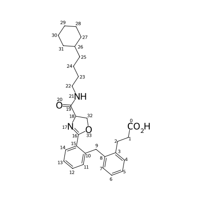 O=C(O)CCc1ccccc1Cc1ccccc1C1=NC(C(=O)NCCCCC2CCCCC2)CO1